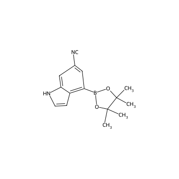 [C-]#[N+]c1cc(B2OC(C)(C)C(C)(C)O2)c2cc[nH]c2c1